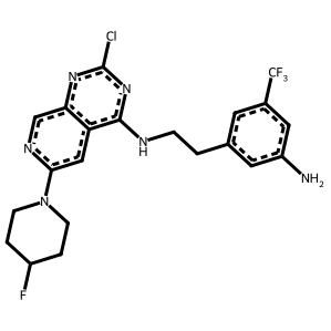 Nc1cc(CCNc2nc(Cl)nc3cnc(N4CCC(F)CC4)cc23)cc(C(F)(F)F)c1